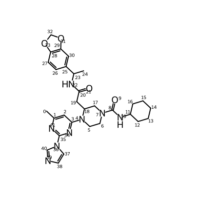 Cc1cc(N2CCN(C(=O)NC3CCCCC3)CC2CC(=O)NC(C)c2ccc3c(c2)OCO3)nc(-n2ccnc2)n1